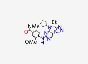 CCC1c2nncn2-c2cnc(Nc3ccc(C(=O)NC)cc3OC)nc2N1C1CCCC1